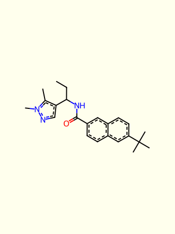 CCC(NC(=O)c1ccc2cc(C(C)(C)C)ccc2c1)c1cnn(C)c1C